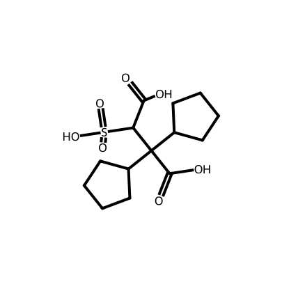 O=C(O)C(C(C(=O)O)(C1CCCC1)C1CCCC1)S(=O)(=O)O